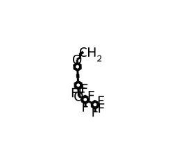 C=CCOc1ccc(C#Cc2ccc(C(F)(F)Oc3cc(F)c(-c4cc(F)c(F)c(F)c4)c(F)c3)c(F)c2)cc1